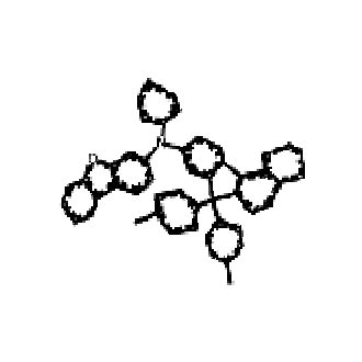 Cc1ccc(C2(c3ccc(C)cc3)c3cc(N(c4ccccc4)c4ccc5c(c4)oc4ccccc45)ccc3-c3c2ccc2ccccc32)cc1